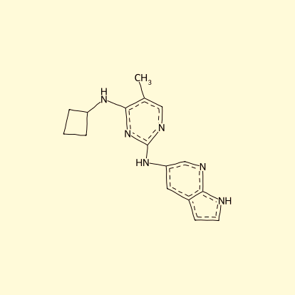 Cc1cnc(Nc2cnc3[nH]ccc3c2)nc1NC1CCC1